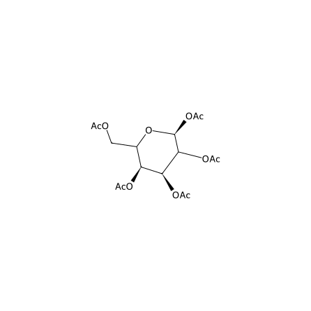 CC(=O)OCC1O[C@@H](OC(C)=O)C(OC(C)=O)[C@@H](OC(C)=O)[C@H]1OC(C)=O